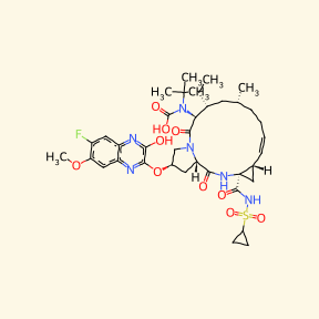 CC[C@@H]1C[C@H](C)CC/C=C\[C@@H]2C[C@@]2(C(=O)NS(=O)(=O)C2CC2)NC(=O)[C@@H]2C[C@@H](Oc3nc4cc(OC)c(F)cc4nc3O)CN2C(=O)[C@H]1N(C(=O)O)C(C)(C)C